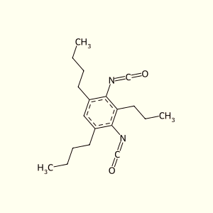 CCCCc1cc(CCCC)c(N=C=O)c(CCC)c1N=C=O